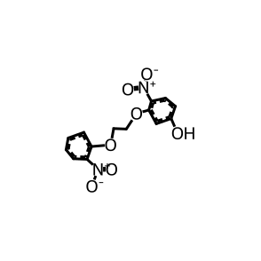 O=[N+]([O-])c1ccccc1OCCOc1cc(O)ccc1[N+](=O)[O-]